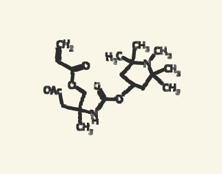 C=CC(=O)OCC(C)(COC(C)=O)NC(=O)OC1CC(C)(C)N(C)C(C)(C)C1